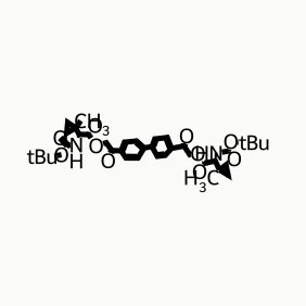 CC(C)(C)OC(=O)N[C@H](C(=O)OCC(=O)c1ccc(-c2ccc(C(=O)COC(=O)[C@@H](NC(=O)OC(C)(C)C)C3(C)CC3)cc2)cc1)C1(C)CC1